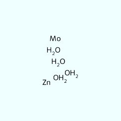 O.O.O.O.[Mo].[Zn]